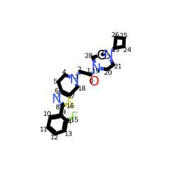 O=C(CN1CCc2nc(-c3ccccc3F)sc2C1)N1CCN(C2CCC2)CC1